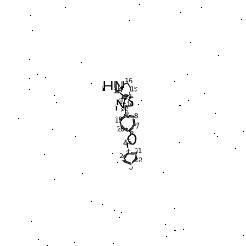 c1ccc(COc2ccc(-c3nc4c(s3)CCNC4)cc2)cc1